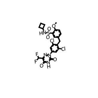 COc1ccc(Cc2c(Cl)cc(-n3nc(C(F)F)c(=O)[nH]c3=O)cc2Cl)cc1S(=O)(=O)NC1CCC1